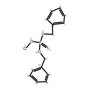 S=P(OCl)(OCc1ccccc1)OCc1ccccc1